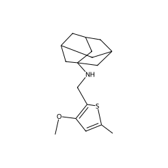 COc1cc(C)sc1CNC12CC3CC(CC(C3)C1)C2